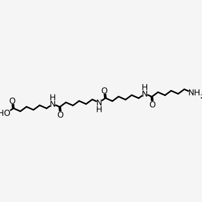 NCCCCCC(=O)NCCCCCC(=O)NCCCCCC(=O)NCCCCCC(=O)O